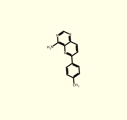 Cc1ccc(-c2ccc3ncnc(N)c3n2)cc1